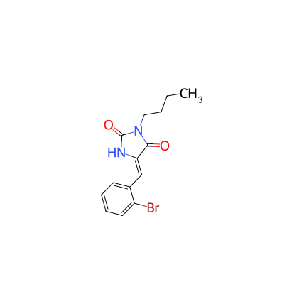 CCCCN1C(=O)N/C(=C\c2ccccc2Br)C1=O